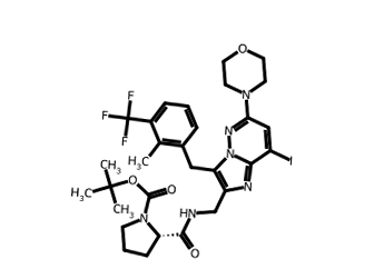 Cc1c(Cc2c(CNC(=O)[C@@H]3CCCN3C(=O)OC(C)(C)C)nc3c(I)cc(N4CCOCC4)nn23)cccc1C(F)(F)F